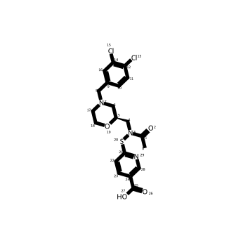 CC(=O)N(C[C@@H]1CN(Cc2ccc(Cl)c(Cl)c2)CCO1)Sc1ccc(C(=O)O)cn1